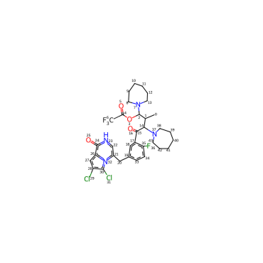 CC(C(OC(=O)C(F)(F)F)N1CCCCCC1)C(C(=O)c1cc(Cc2c[nH]c(=O)c3cc(Cl)c(Cl)n23)ccc1F)N1CCCCCC1